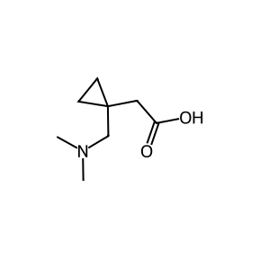 CN(C)CC1(CC(=O)O)CC1